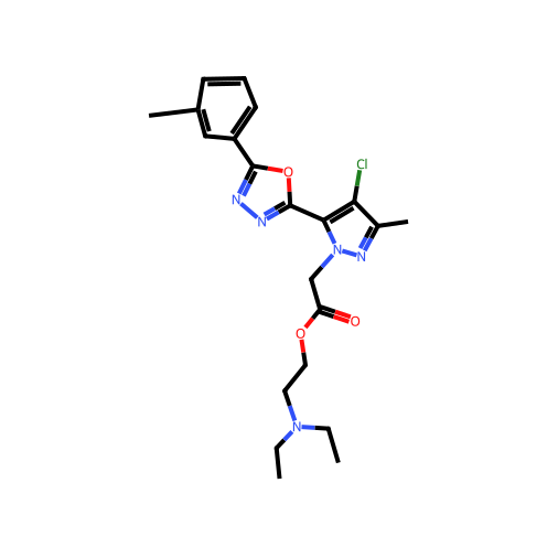 CCN(CC)CCOC(=O)Cn1nc(C)c(Cl)c1-c1nnc(-c2cccc(C)c2)o1